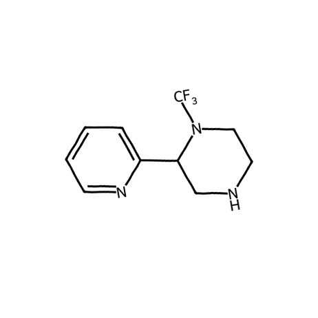 FC(F)(F)N1CCNCC1c1ccccn1